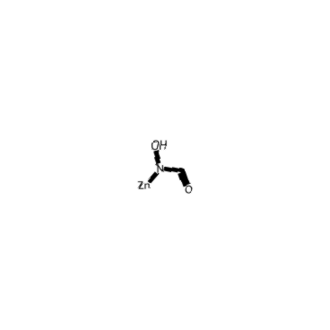 O=C[N](O)[Zn]